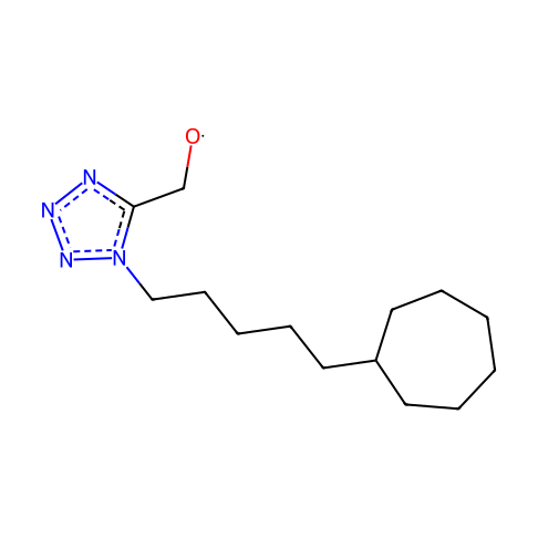 [O]Cc1nnnn1CCCCCC1CCCCCC1